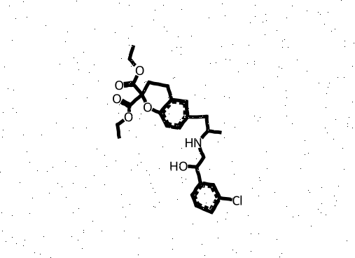 CCOC(=O)C1(C(=O)OCC)CCc2cc(CC(C)NCC(O)c3cccc(Cl)c3)ccc2O1